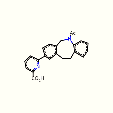 CC(=O)N1Cc2ccc(-c3cccc(C(=O)O)n3)cc2CCc2ccccc21